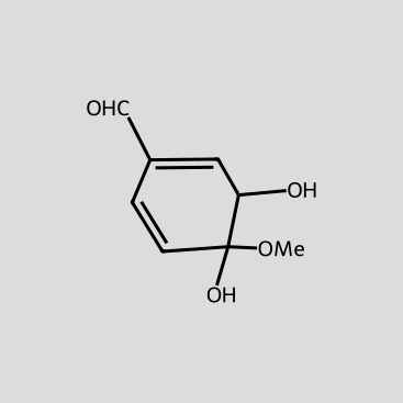 COC1(O)C=CC(C=O)=CC1O